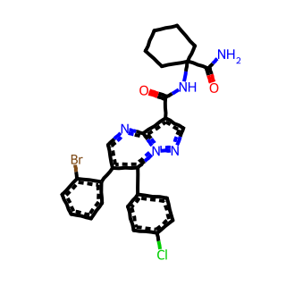 NC(=O)C1(NC(=O)c2cnn3c(-c4ccc(Cl)cc4)c(-c4ccccc4Br)cnc23)CCCCC1